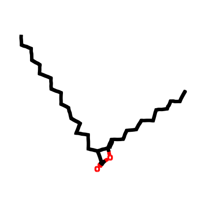 CCCCCCCCCCC=C1OC(=O)C1CCCCCCCCCCCCCCCC